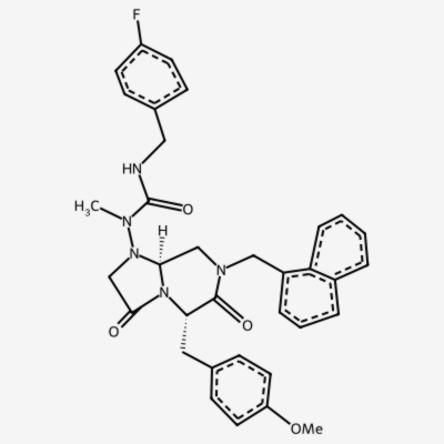 COc1ccc(C[C@H]2C(=O)N(Cc3cccc4ccccc34)C[C@H]3N2C(=O)CN3N(C)C(=O)NCc2ccc(F)cc2)cc1